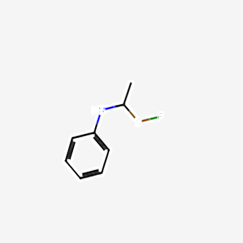 CC(Nc1ccccc1)SF